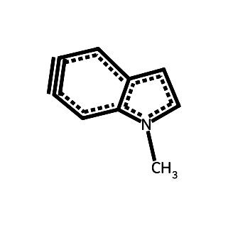 Cn1ccc2cc#ccc21